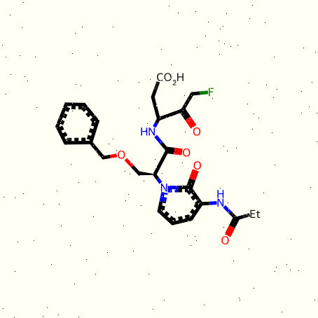 CCC(=O)Nc1cccn([C@@H](COCc2ccccc2)C(=O)NC(CC(=O)O)C(=O)CF)c1=O